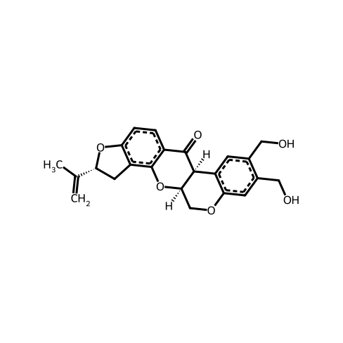 C=C(C)[C@H]1Cc2c(ccc3c2O[C@@H]2COc4cc(CO)c(CO)cc4[C@@H]2C3=O)O1